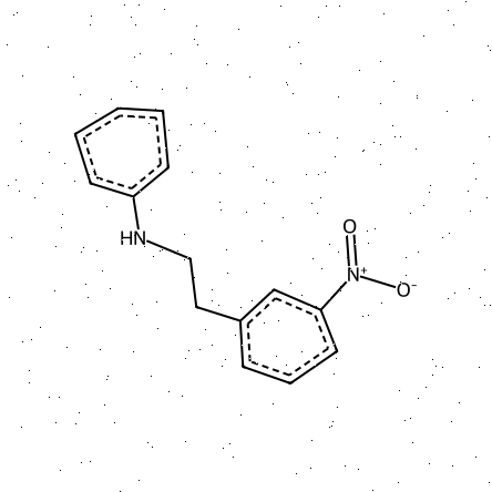 O=[N+]([O-])c1cccc(CCNc2ccccc2)c1